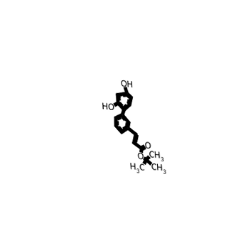 CC(C)(C)OC(=O)/C=C/c1cccc(-c2ccc(O)cc2O)c1